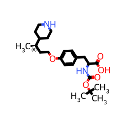 C[C@H](CCOc1ccc(CC(NC(=O)OC(C)(C)C)C(=O)O)cc1)C1CCNCC1